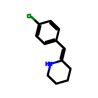 Clc1ccc(/C=C2/CCCCN2)cc1